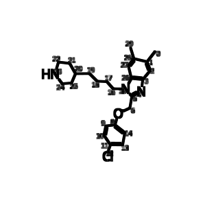 Cc1cc2nc(COc3ccc(Cl)cc3)n(CCCCC3CCNCC3)c2cc1C